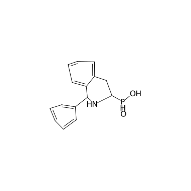 O=[PH](O)C1Cc2ccccc2C(c2ccccc2)N1